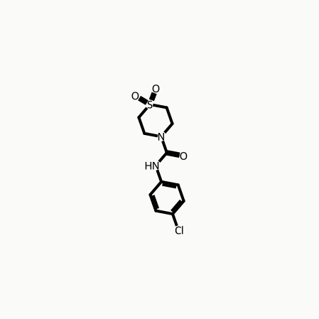 O=C(Nc1ccc(Cl)cc1)N1CCS(=O)(=O)CC1